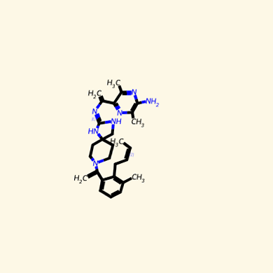 C=C(/N=C1\NCC2(CCN(C(=C)c3cccc(C)c3C/C=C\C)CC2)N1)c1nc(C)c(N)nc1C